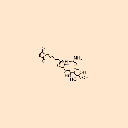 CN(C[C@H](O)[C@@H](O)[C@H](O)[C@H](O)CO)C(=O)C(CCC(N)=O)NC(=O)CCCCCN1C(=O)C=CC1=O